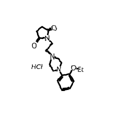 CCOc1ccccc1N1CCN(CCN2C(=O)CCC2=O)CC1.Cl